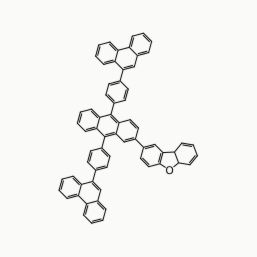 C1=CC2Oc3ccc(-c4ccc5c(-c6ccc(-c7cc8ccccc8c8ccccc78)cc6)c6ccccc6c(-c6ccc(-c7cc8ccccc8c8ccccc78)cc6)c5c4)cc3C2C=C1